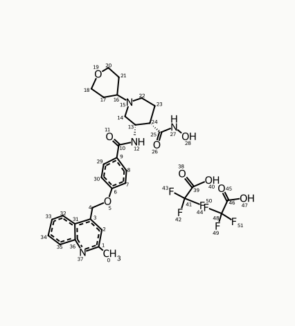 Cc1cc(COc2ccc(C(=O)N[C@@H]3CN(C4CCOCC4)CC[C@@H]3C(=O)NO)cc2)c2ccccc2n1.O=C(O)C(F)(F)F.O=C(O)C(F)(F)F